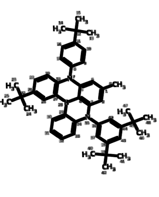 Cc1cc2c3c(c1)N(c1ccc(C(C)(C)C)cc1)c1ccc(C(C)(C)C)cc1B3c1ccccc1N2c1cc(C(C)(C)C)cc(C(C)(C)C)c1